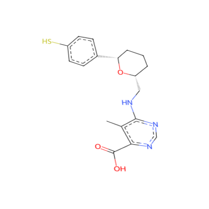 Cc1c(NC[C@H]2CCC[C@@H](c3ccc(S)cc3)O2)ncnc1C(=O)O